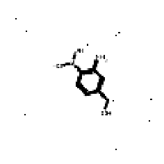 Nc1cc(CO)ccc1B(O)O